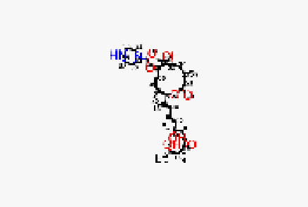 CC[C@H](O)[C@@H](C)[C@H]1O[C@@H]1C[C@@](C)(O)/C=C/C=C(\C)[C@H]1OC(=O)C[C@H](C)CC[C@@](C)(O)[C@@H](OC(=O)N2CCNCC2)/C=C/[C@@H]1C